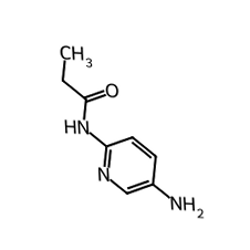 CCC(=O)Nc1ccc(N)cn1